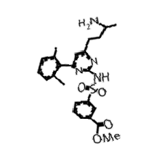 COC(=O)c1cccc(S(=O)(=O)Nc2nc(CCC(C)N)cc(-c3c(C)cccc3C)n2)c1